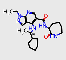 CCn1ncc2c(N[C@H](C)C3CCCCC3)c(C(=O)NC3CCCCNC3=O)cnc21